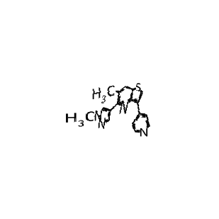 Cc1cc2scc(-c3ccncc3)c2nc1-c1cnn(C)c1